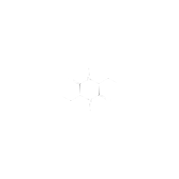 CCC1C(=O)N(C)C(CC)C(=O)N1C